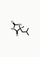 CC(C)C[C@@]1(C)NC(=O)NC1=O